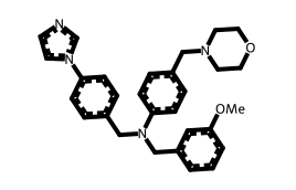 COc1cccc(CN(Cc2ccc(-n3ccnc3)cc2)c2ccc(CN3CCOCC3)cc2)c1